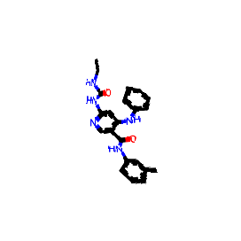 CCNC(=O)Nc1cc(Nc2ccccc2)c(C(=O)Nc2cccc(C)c2)cn1